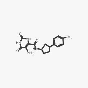 Cc1ccc(C2CCC(NC(=O)c3[nH]c(=O)[nH]c(=O)c3N)C2)cc1